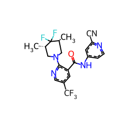 C[C@@H]1CN(c2ncc(C(F)(F)F)cc2C(=O)Nc2ccnc(C#N)c2)C[C@H](C)C1(F)F